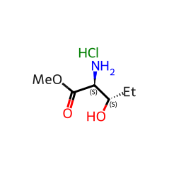 CC[C@H](O)[C@H](N)C(=O)OC.Cl